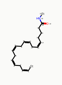 CC/C=C\C/C=C\C/C=C\C/C=C\C/C=C\CCCC(=O)NCC